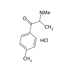 CNC(C)C(=O)c1ccc(C)cc1.Cl